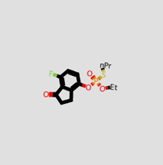 CCCSP(=O)(OCC)Oc1ccc(F)c2c1CCC2=O